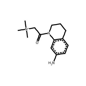 C[N+](C)(C)CC(=O)N1CCCc2ccc(N)cc21